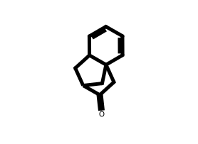 O=C1CC23C=CC=CC2CC1C3